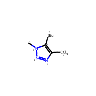 Cn1nnc(C(Cl)(Cl)Cl)c1C(C)(C)C